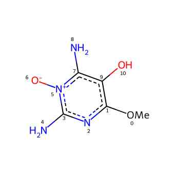 COc1nc(N)[n+]([O-])c(N)c1O